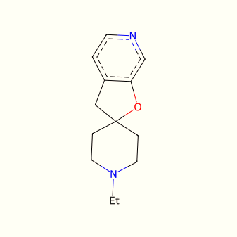 CCN1CCC2(CC1)Cc1ccncc1O2